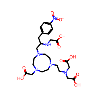 O=C(O)CNC(Cc1ccc([N+](=O)[O-])cc1)CN1CCN(CCN(CC(=O)O)CC(=O)O)CCN(CC(=O)O)CC1